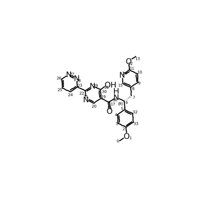 COc1ccc([C@@H](Cc2ccc(OC)nc2)NC(=O)c2cnc(-c3cccnn3)nc2O)cc1